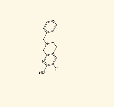 Oc1nc2c(cc1F)CCN(Cc1ccccc1)C2